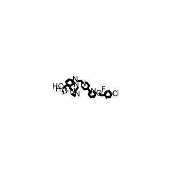 CCn1ccnc1Cn1c(CN2CCC(c3cccc(OCc4ccc(Cl)cc4F)n3)CC2)nc2ccc(C(=O)O)cc21